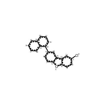 Clc1ccc2oc3ccc(-c4cccc5ccccc45)cc3c2c1